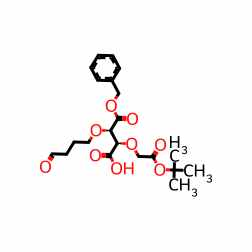 CC(C)(C)OC(=O)CO[C@@H](C(=O)O)[C@@H](OCCCC=O)C(=O)OCc1ccccc1